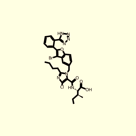 CCCCc1nc(Cl)c(C(=O)N[C@H](C(=O)O)[C@@H](C)CC)n1Cc1ccc2oc(-c3ccccc3-c3nnn[nH]3)c(Br)c2c1